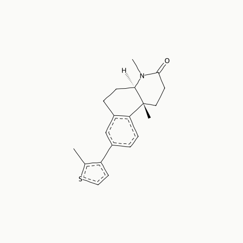 Cc1sccc1-c1ccc2c(c1)CC[C@H]1N(C)C(=O)CC[C@]21C